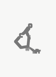 CCC[C@@H]1CCCC(=O)S1